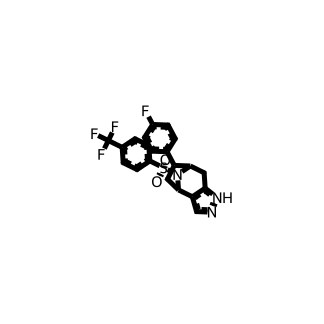 O=S(=O)(c1ccc(C(F)(F)F)cc1)N1C2CC(c3ccc(F)cc3)C1Cc1[nH]ncc12